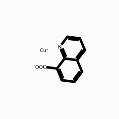 O=C([O-])c1cccc2cccnc12.[Cu+]